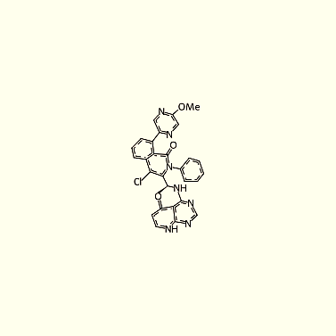 COc1cnc(-c2cccc3c(Cl)c([C@H](C)Nc4ncnc5[nH]ccc(=O)c45)n(-c4ccccc4)c(=O)c23)cn1